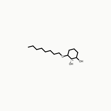 CCCCCCCCOC1CCCC(O)[C@@H]1O